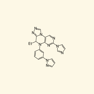 CCC1c2nncn2-c2cnc(-n3ccnc3)nc2N1c1cccc(-n2cccn2)c1